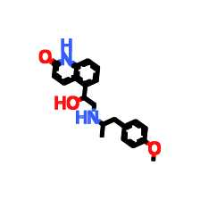 COc1ccc(CC(C)NCC(O)c2cccc3[nH]c(=O)ccc23)cc1